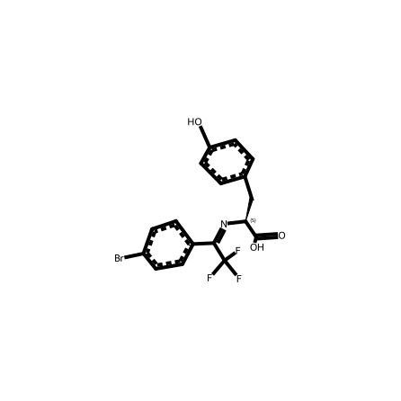 O=C(O)[C@H](Cc1ccc(O)cc1)N=C(c1ccc(Br)cc1)C(F)(F)F